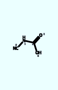 N#CNC(=O)O